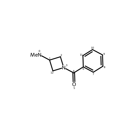 CNC1CN(C(=O)c2ccccc2)C1